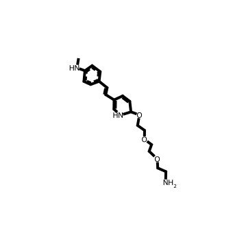 CNc1ccc(/C=C/C2=CNC(OCCOCCOCCN)C=C2)cc1